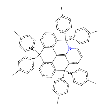 Cc1cc[12c](C2([12c]3ccc(C)cc3)C3=CC=CN4C3=C3c5c2cccc5C([12c]2ccc(C)cc2)([12c]2ccc(C)cc2)c2cccc(c23)C4([12c]2ccc(C)cc2)[12c]2ccc(C)cc2)cc1